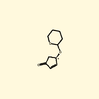 O=C1C=C[C@H](OC2CCCCO2)C1